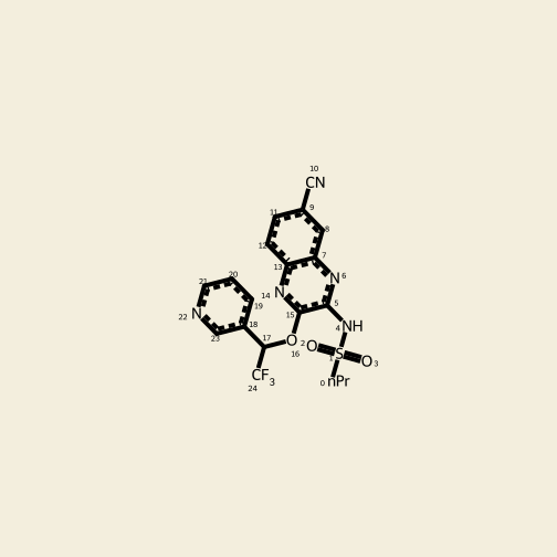 CCCS(=O)(=O)Nc1nc2cc(C#N)ccc2nc1OC(c1cccnc1)C(F)(F)F